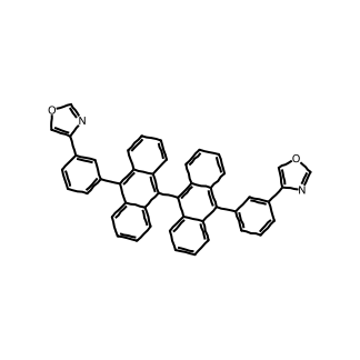 c1cc(-c2cocn2)cc(-c2c3ccccc3c(-c3c4ccccc4c(-c4cccc(-c5cocn5)c4)c4ccccc34)c3ccccc23)c1